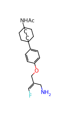 CC(=O)NC12CCC(c3ccc(OC/C(=C/F)CN)cc3)(CC1)CC2